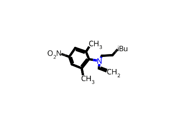 C=CN(CCC(C)CC)c1c(C)cc([N+](=O)[O-])cc1C